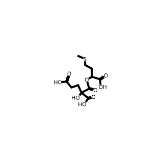 CSCCC(OC(=O)C(O)(CCC(=O)O)C(=O)O)C(=O)O